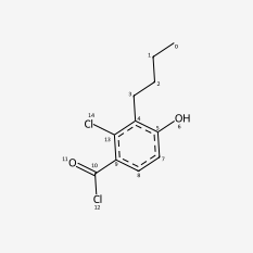 CCCCc1c(O)ccc(C(=O)Cl)c1Cl